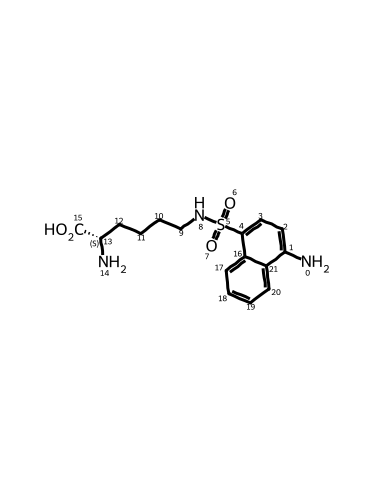 Nc1ccc(S(=O)(=O)NCCCC[C@H](N)C(=O)O)c2ccccc12